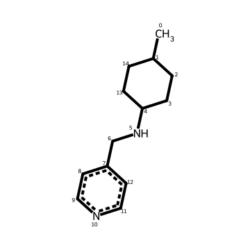 CC1CCC(NCc2ccncc2)CC1